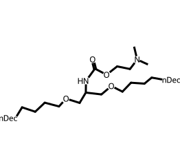 CCCCCCCCCCCCCCOCC(COCCCCCCCCCCCCCC)NC(=O)OCCN(C)C